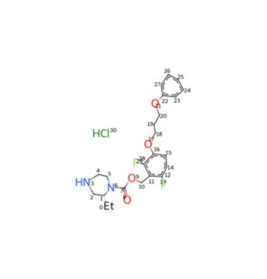 CC[C@@H]1CNCCN1C(=O)OCc1c(F)ccc(OCCCOc2ccccc2)c1F.Cl